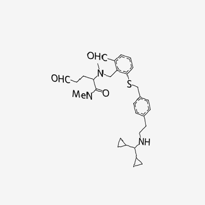 CNC(=O)C(CCC=O)N(C)Cc1c(C=O)cccc1SCc1ccc(CCNC(C2CC2)C2CC2)cc1